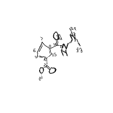 COC(=O)c1cccc(C(=O)NN(C)C)c1